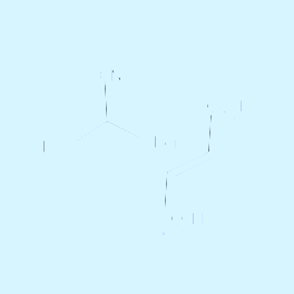 CCCCCC(C)C#N.O=C(O)C=CC(=O)O